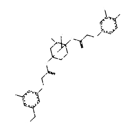 CCc1cc(C)cc(OCC(=O)NC23CCC(NC(=O)COc4ccc(Cl)c(F)c4)(CC2)[C@@H](O)C3)c1